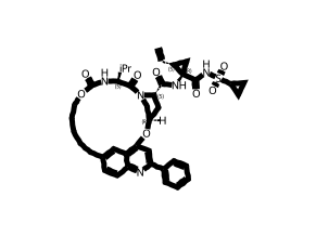 C=C[C@@H]1C[C@]1(NC(=O)[C@@H]1C[C@@H]2CN1C(=O)[C@H](C(C)C)NC(=O)OCCCCCc1ccc3nc(-c4ccccc4)cc(c3c1)O2)C(=O)NS(=O)(=O)C1CC1